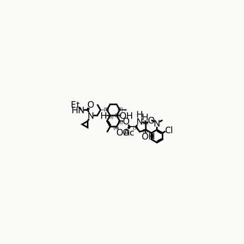 CCNC(=O)N(CC(C)[C@@H]1CC[C@@H](C)[C@@]2(O)[C@@H]1C=C(C)[C@@H](OC(C)=O)[C@@H]2OC(=O)[C@@H]1C[C@@]2(O)c3cccc(Cl)c3N(C)O[C@H]2N1)C1CC1